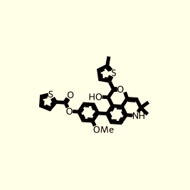 COc1cc(OC(=O)c2cccs2)ccc1-c1ccc2c(c1C(O)C(=O)c1ccc(C)s1)C(C)=CC(C)(C)N2